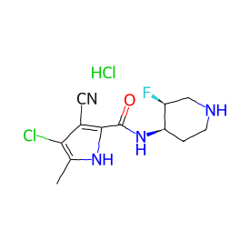 Cc1[nH]c(C(=O)N[C@@H]2CCNC[C@@H]2F)c(C#N)c1Cl.Cl